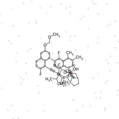 COCOc1cc(-c2cc3c4c(nc(C)c(C)c4c2F)N2CC4CCC(C2C(C)O3)N4C(=O)O)c2c(C#C[Si](C(C)C)(C(C)C)C(C)C)c(F)ccc2c1